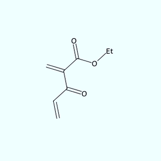 C=CC(=O)C(=C)C(=O)OCC